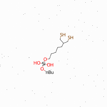 CCCCO[Si](O)(O)OCCCCCC(CS)CS